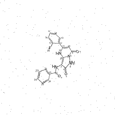 O=C(Nc1c(=O)[nH]n2c(=O)cc(-c3ccccc3F)[nH]c12)c1ccccc1